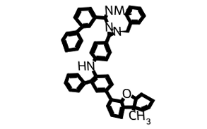 CNC(c1cccc(-c2ccccc2)c1)N1C(c2ccc(Nc3ccc(C4C=CC=C5C4OC4CCC=CC54C)cc3-c3ccccc3)cc2)[N@]1Cc1ccccc1